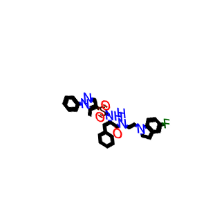 Cc1c(S(=O)(=O)NC(CC2CCCCC2)C(=O)NCCN2CCc3cc(F)ccc32)cnn1-c1ccccc1